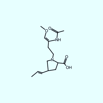 CC=CC1CC(C(=O)O)N(CCC(=COC)NC(C)=O)C1